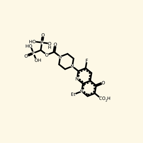 CCn1cc(C(=O)O)c(=O)c2cc(F)c(N3CCN(C(=O)OC(P(=O)(O)O)P(=O)(O)O)CC3)nc21